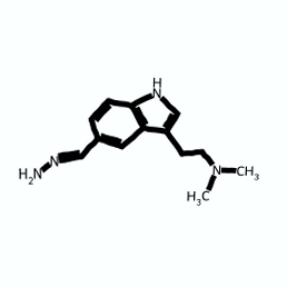 CN(C)CCc1c[nH]c2ccc(C=NN)cc12